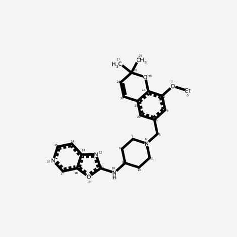 CCOc1cc(CN2CCC(Nc3nc4ccncc4o3)CC2)cc2c1OC(C)(C)C=C2